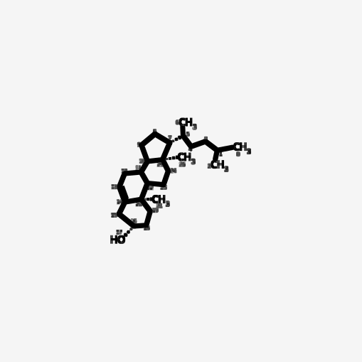 CC(C)CCC(C)[C@H]1CCC2C3CC=C4C[C@@H](O)CC[C@]4(C)C3CC[C@@]21C